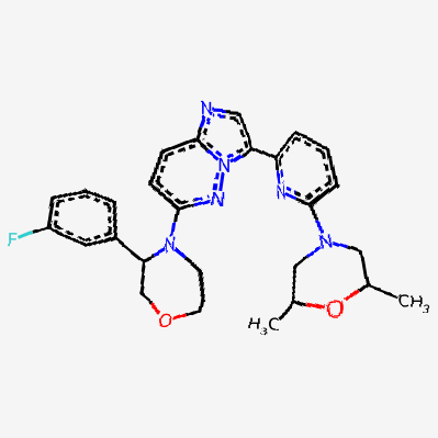 CC1CN(c2cccc(-c3cnc4ccc(N5CCOCC5c5cccc(F)c5)nn34)n2)CC(C)O1